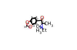 CCN(C)C(C)C(=O)c1ccc2c(c1)OCO2